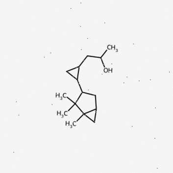 CC(O)CC1CC1C1CC2CC2(C)C1(C)C